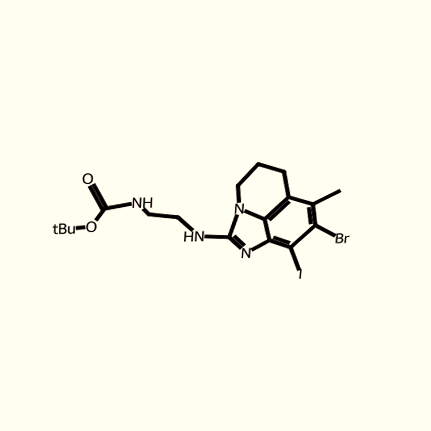 Cc1c(Br)c(I)c2nc(NCCNC(=O)OC(C)(C)C)n3c2c1CCC3